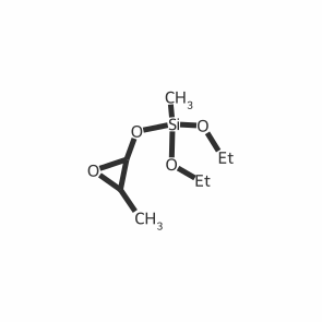 CCO[Si](C)(OCC)OC1OC1C